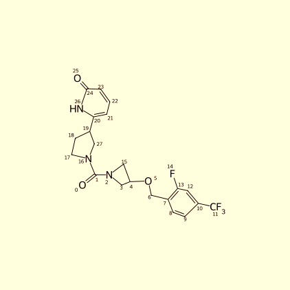 O=C(N1CC(OCc2ccc(C(F)(F)F)cc2F)C1)N1CCC(c2cccc(=O)[nH]2)C1